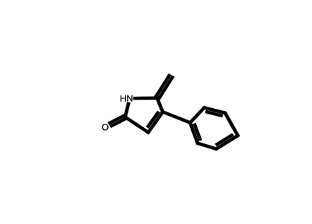 C=C1NC(=O)C=C1c1ccccc1